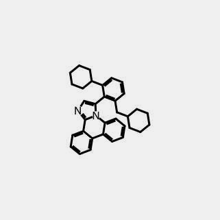 c1cc(CC2CCCCC2)c(-c2cnc3c4ccccc4c4ccccc4n23)c(C2CCCCC2)c1